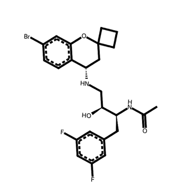 CC(=O)N[C@@H](Cc1cc(F)cc(F)c1)[C@@H](O)CN[C@H]1CC2(CCC2)Oc2cc(Br)ccc21